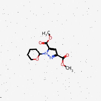 COC(=O)c1cc(C(=O)OC)n(C2CCCCO2)n1